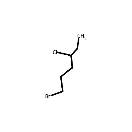 CCC(Cl)CCCBr